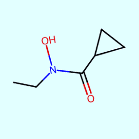 CCN(O)C(=O)C1CC1